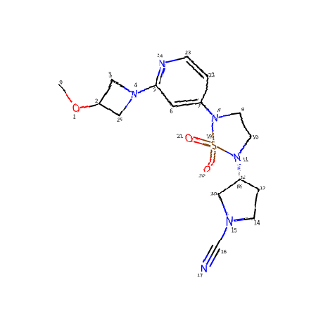 COC1CN(c2cc(N3CCN([C@@H]4CCN(C#N)C4)S3(=O)=O)ccn2)C1